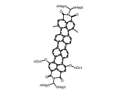 CCCCCCCCOc1cc2c3c(cc(OCCCCCCCC)c4c5ccc6c7ccc8c9c(C)cc%10c%11c(cc(C)c(c%12ccc(c%13ccc(c1c34)c5c%136)c7c%128)c%119)C(=O)N(C(CCCCCCC)CCCCCCC)C%10=O)C(=O)N(C(CCCCCCC)CCCCCCC)C2=O